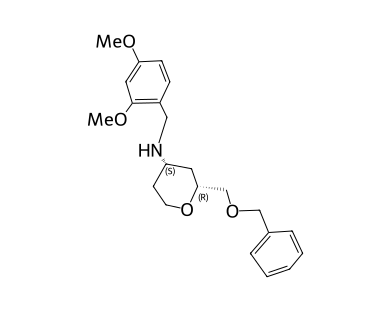 COc1ccc(CN[C@H]2CCO[C@@H](COCc3ccccc3)C2)c(OC)c1